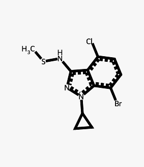 CSNc1nn(C2CC2)c2c(Br)ccc(Cl)c12